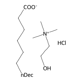 CCCCCCCCCCCCCCCC(=O)[O-].C[N+](C)(C)CCO.Cl